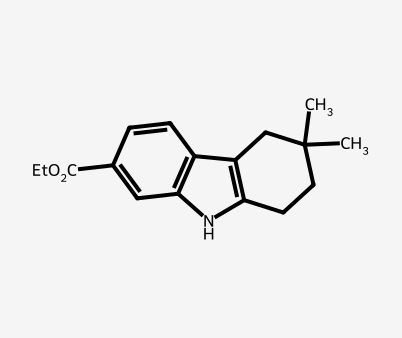 CCOC(=O)c1ccc2c3c([nH]c2c1)CCC(C)(C)C3